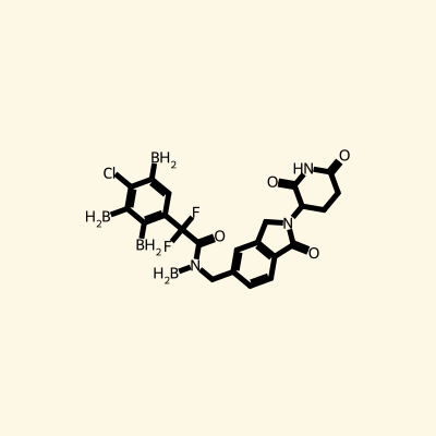 Bc1cc(C(F)(F)C(=O)N(B)Cc2ccc3c(c2)CN(C2CCC(=O)NC2=O)C3=O)c(B)c(B)c1Cl